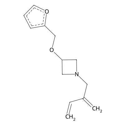 C=CC(=C)CN1CC(OCc2ccco2)C1